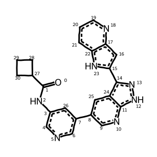 O=C(Nc1cncc(-c2cnc3[nH]nc(-c4cc5ncccc5[nH]4)c3c2)c1)C1CCC1